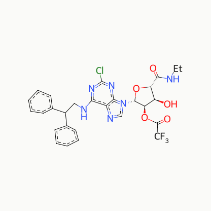 CCNC(=O)[C@H]1O[C@@H](n2cnc3c(NCC(c4ccccc4)c4ccccc4)nc(Cl)nc32)[C@H](OC(=O)C(F)(F)F)[C@@H]1O